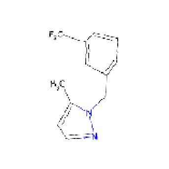 Cc1ccnn1Cc1cccc(C(F)(F)F)c1